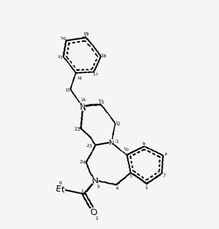 CCC(=O)N1Cc2ccccc2N2CCN(Cc3ccccc3)CC2C1